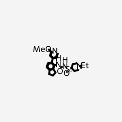 CCN1CCC([S+]([O-])NC(=O)Nc2c(-c3ccnc(OC)c3)ccc3c2CCC3)CC1